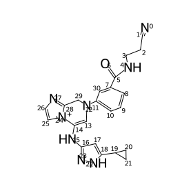 N#CCCNC(=O)c1cccc(N2C=C(Nc3cc(C4CC4)[nH]n3)[N+]3C=CN=C3C2)c1